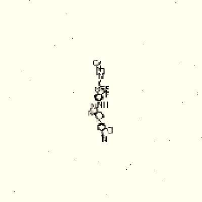 CC(=O)N1CCN(CCCOc2ccc(Nc3ncnc4c3CCN(c3ccc(C#N)c(Cl)c3)C4)cc2C(F)(F)F)CC1